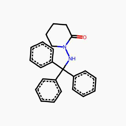 O=C1CCCCN1NC(c1ccccc1)(c1ccccc1)c1ccccc1